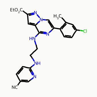 CCOC(=O)c1cc2c(NCCNc3ccc(C#N)cn3)nc(-c3ccc(Cl)cc3C)cn2n1